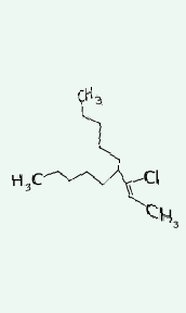 CC=C(Cl)C(CCCCC)CCCCC